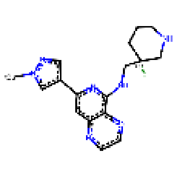 CC(C)(C)n1cc(-c2cc3nccnc3c(NC[C@@]3(F)CCCNC3)n2)cn1